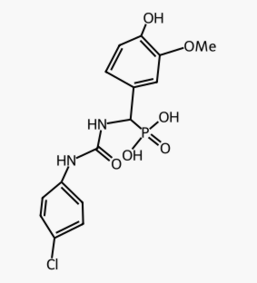 COc1cc(C(NC(=O)Nc2ccc(Cl)cc2)P(=O)(O)O)ccc1O